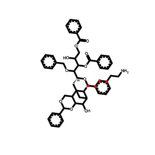 NCCCCCOC1C2CC1(C[C@@H](OCc1ccccc1)C(OCc1ccccc1)C(OC(=O)c1ccccc1)C(O)COC(=O)c1ccccc1)C1COC(c3ccccc3)OC1C2O